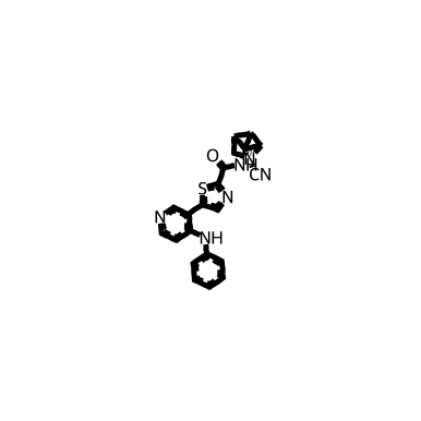 N#CN1CC2C3C1[C@]23NC(=O)c1ncc(-c2cnccc2Nc2ccccc2)s1